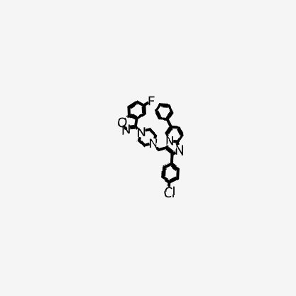 Fc1ccc2onc(N3CCN(Cc4c(-c5ccc(Cl)cc5)nc5ccc(-c6ccccc6)cn45)CC3)c2c1